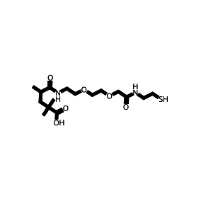 CC(CC(C)(C)C(=O)O)C(=O)NCCOCCOCC(=O)NCCS